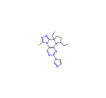 CCC1CCC2(CC)c3nnc(C)n3-c3cnc(-n4ccnc4)nc3N12